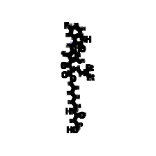 CCN(CC)CCN(C(=O)OCCCCCCNC(=O)CCO)C(=O)c1c(C)[nH]c(/C=C2\C(=O)Nc3ccc(F)cc32)c1C